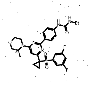 CCNC(=O)Nc1ccc(-c2nc(N3CCOC[C@@H]3C)cc(C3(S(=O)(=O)c4cc(F)cc(F)c4)CC3)n2)cc1